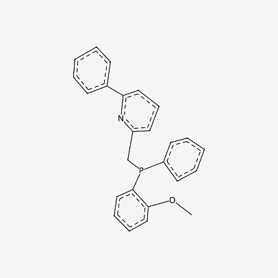 COc1ccccc1P(Cc1cccc(-c2ccccc2)n1)c1ccccc1